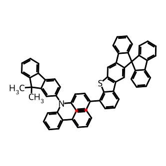 CC1(C)c2ccccc2-c2ccc(N(c3ccc(-c4cccc5c4sc4cc6c(cc45)C4(c5ccccc5-c5ccccc54)c4ccccc4-6)cc3)c3ccccc3-c3ccccc3)cc21